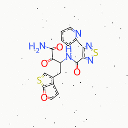 NC(=O)C(=O)C(Cc1csc2occc12)NC(=O)c1nsnc1-c1ccccn1